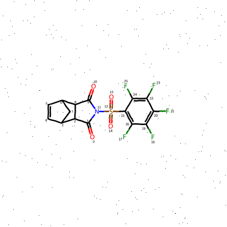 O=C1C2C3C=CC(C3)C2C(=O)N1S(=O)(=O)c1c(F)c(F)c(F)c(F)c1F